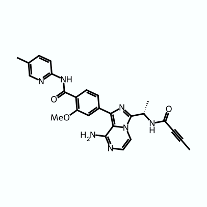 CC#CC(=O)N[C@@H](C)c1nc(-c2ccc(C(=O)Nc3ccc(C)cn3)c(OC)c2)c2c(N)nccn12